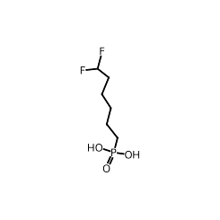 O=P(O)(O)CCCCCC(F)F